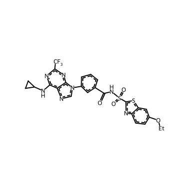 CCOc1ccc2nc(S(=O)(=O)NC(=O)c3cccc(-n4cnc5c(NC6CC6)nc(C(F)(F)F)nc54)c3)sc2c1